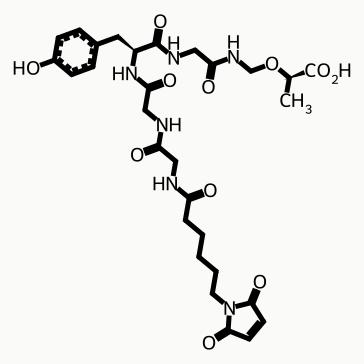 C[C@@H](OCNC(=O)CNC(=O)[C@H](Cc1ccc(O)cc1)NC(=O)CNC(=O)CNC(=O)CCCCCN1C(=O)C=CC1=O)C(=O)O